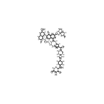 CCc1c(F)ccc2cc(O)cc(-c3ncc4c(N5CCCn6nc(C(=O)N7CCC8(CC7)CN(c7ccc(NC9CCC(=O)NC9=O)cc7)C8)cc6C5)nc(OC[C@@]56CCCN5C[C@H](F)C6)nc4c3F)c12